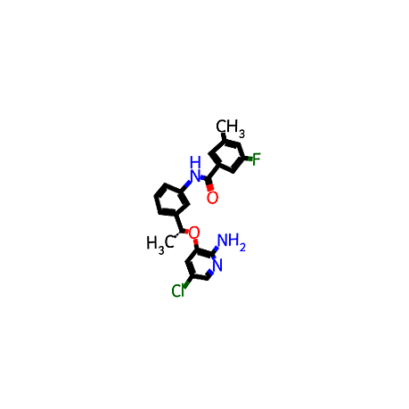 Cc1cc(F)cc(C(=O)Nc2cccc([C@@H](C)Oc3cc(Cl)cnc3N)c2)c1